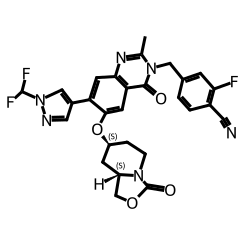 Cc1nc2cc(-c3cnn(C(F)F)c3)c(O[C@H]3CCN4C(=O)OC[C@@H]4C3)cc2c(=O)n1Cc1ccc(C#N)c(F)c1